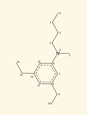 CCCCN(C)c1cc(CC)cc(CC)c1